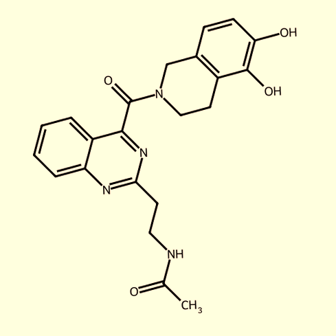 CC(=O)NCCc1nc(C(=O)N2CCc3c(ccc(O)c3O)C2)c2ccccc2n1